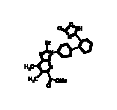 CCc1nc2c(C)c(C)c(C(=O)OC)nc2n1-c1ccc(-c2ccccc2-c2nc(=O)o[nH]2)cc1